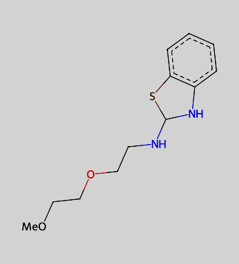 COCCOCCNC1Nc2ccccc2S1